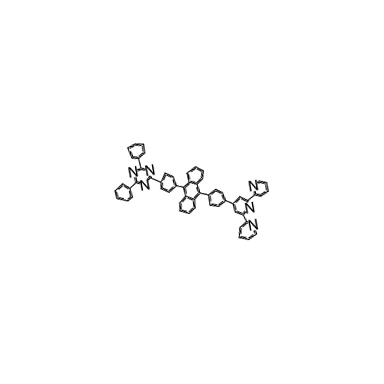 c1ccc(-c2nc(-c3ccccc3)nc(-c3ccc(-c4c5ccccc5c(-c5ccc(-c6cc(-c7ccccn7)nc(-c7ccccn7)c6)cc5)c5ccccc45)cc3)n2)cc1